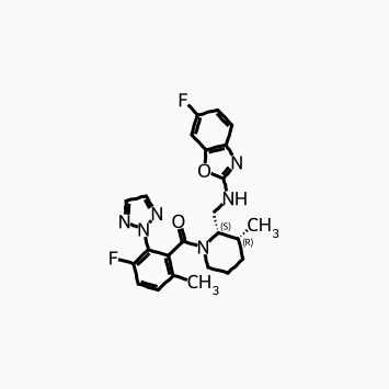 Cc1ccc(F)c(-n2nccn2)c1C(=O)N1CCC[C@@H](C)[C@H]1CNc1nc2ccc(F)cc2o1